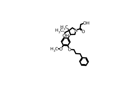 COc1ccc([C@@H]2CN(C(=O)CO)C[C@@]2(C)[C@@H](C)O)cc1OCCCc1ccccc1